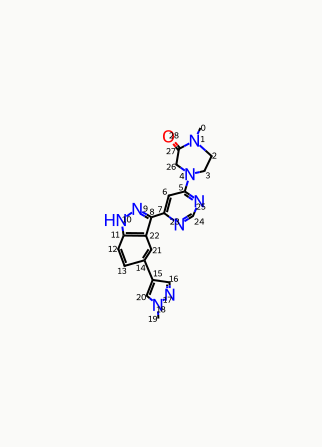 CN1CCN(c2cc(-c3n[nH]c4ccc(-c5cnn(C)c5)cc34)ncn2)CC1=O